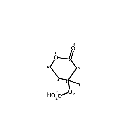 CC1(OC(=O)O)CCOC(=O)C1